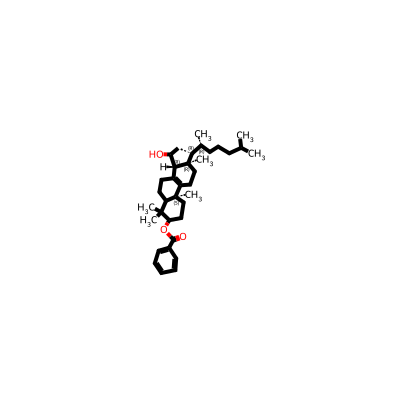 CC(C)CCC[C@@H](C)[C@H]1CC(O)[C@H]2C3=C(CC[C@@]21C)[C@@]1(C)CCC(OC(=O)c2ccccc2)C(C)(C)C1CC3